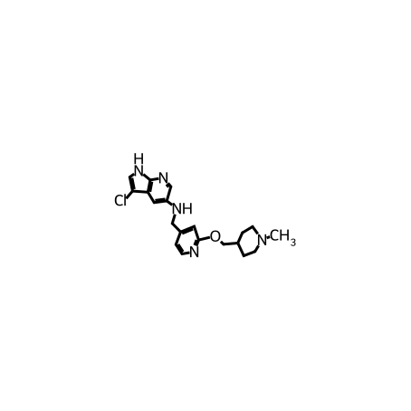 CN1CCC(COc2cc(CNc3cnc4[nH]cc(Cl)c4c3)ccn2)CC1